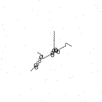 CCCCC/C=C\C/C=C\CCCCCCCC(=O)OCC(COC(=O)CCCCCCC/C=C\C(/C=C\CCCCC)OC1C=C2CCC3C(CC[C@@]4(C)C3CC[C@@H]4OC(=O)CCCCCC)[C@@]2(C)CC1)OC(=O)CCCCCCC/C=C/CCCCCCCC